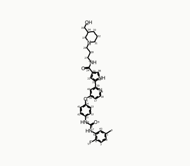 Cc1ccc(F)c(NC(=O)Nc2ccc(Oc3ccnc(-c4cc(C(=O)NCCCN5CCCC(CO)C5)c[nH]4)c3)cc2)c1